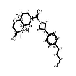 O=C1CO[C@H]2CCN(C(=O)N3CC(c4ccc(CCCF)cc4)C3)C[C@H]2N1